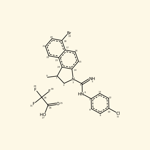 CC1CN(C(=N)Nc2ccc(Cl)cc2)c2ccc3c(Br)cccc3c21.O=C(O)C(F)(F)F